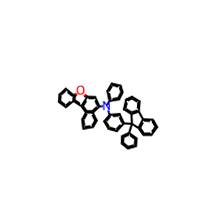 c1ccc(N(c2cccc(C3(c4ccccc4)c4ccccc4-c4ccccc43)c2)c2cc3oc4ccccc4c3c3ccccc23)cc1